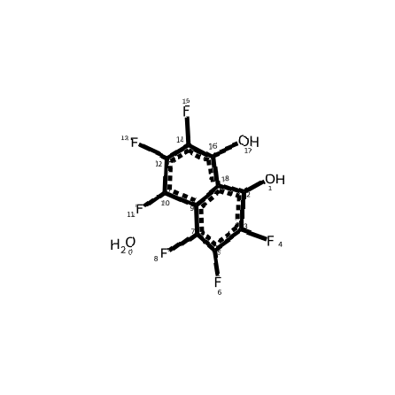 O.Oc1c(F)c(F)c(F)c2c(F)c(F)c(F)c(O)c12